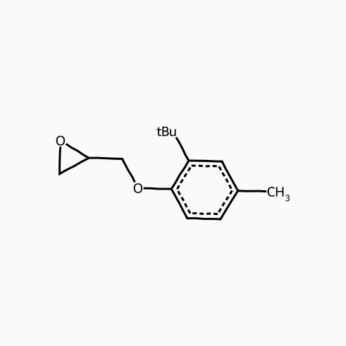 Cc1ccc(OCC2CO2)c(C(C)(C)C)c1